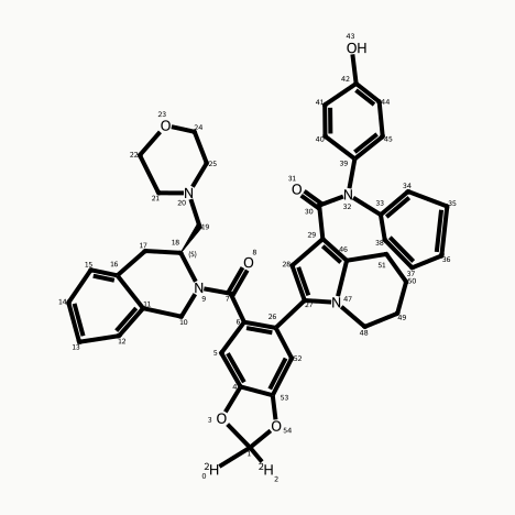 [2H]C1([2H])Oc2cc(C(=O)N3Cc4ccccc4C[C@H]3CN3CCOCC3)c(-c3cc(C(=O)N(c4ccccc4)c4ccc(O)cc4)c4n3CCCC4)cc2O1